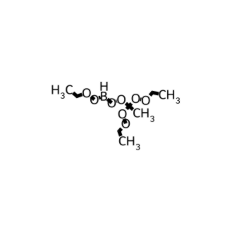 CCOOBOOC(C)(OOCC)OOCC